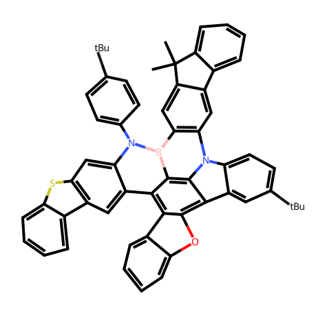 CC(C)(C)c1ccc(N2B3c4cc5c(cc4-n4c6ccc(C(C)(C)C)cc6c6c7oc8ccccc8c7c(c3c64)-c3cc4c(cc32)sc2ccccc24)-c2ccccc2C5(C)C)cc1